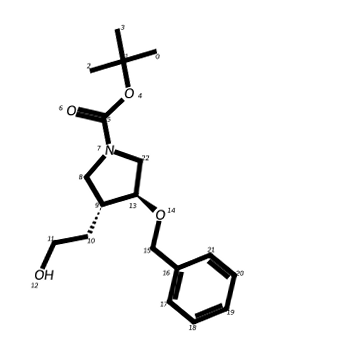 CC(C)(C)OC(=O)N1C[C@@H](CCO)[C@H](OCc2ccccc2)C1